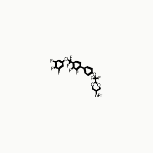 CCCC1COC(C(F)(F)Oc2ccc(-c3ccc(C(F)(F)Oc4cc(F)c(F)c(F)c4)c(F)c3F)cc2)OC1